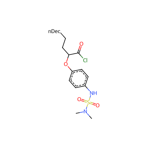 CCCCCCCCCCCCC(Oc1ccc(NS(=O)(=O)N(C)C)cc1)C(=O)Cl